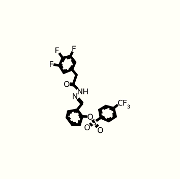 O=C(Cc1cc(F)c(F)c(F)c1)NN=Cc1ccccc1OS(=O)(=O)c1ccc(C(F)(F)F)cc1